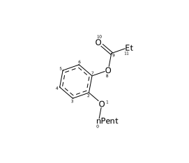 CCCCCOc1ccccc1OC(=O)CC